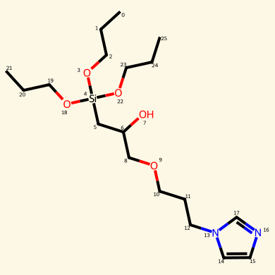 CCCO[Si](CC(O)COCCCn1ccnc1)(OCCC)OCCC